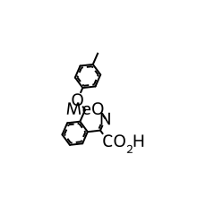 CO/N=C(/C(=O)O)c1ccccc1COc1ccc(C)cc1